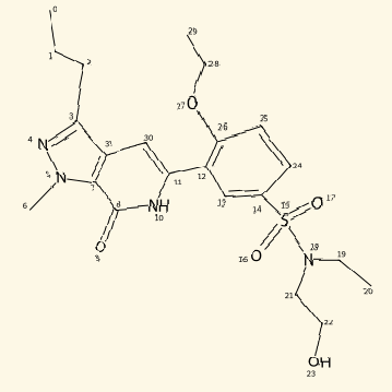 CCCc1nn(C)c2c(=O)[nH]c(-c3cc(S(=O)(=O)N(CC)CCO)ccc3OCC)cc12